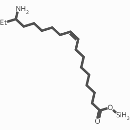 CCC(N)CCCCC/C=C\CCCCCCCC(=O)O[SiH3]